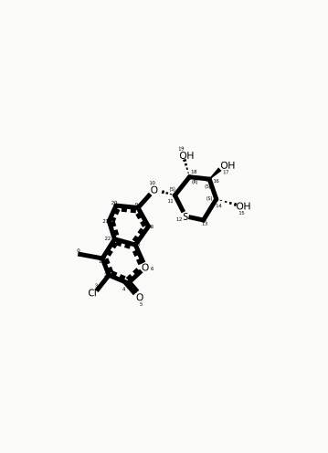 Cc1c(Cl)c(=O)oc2cc(O[C@H]3SC[C@@H](O)[C@H](O)[C@H]3O)ccc12